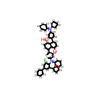 C=C1/C(=C\C(=C)N(c2ccccc2)c2c(F)cc(-c3ccccc3)cc2-c2ccccc2)Oc2ccc(-c3ccc(N(C4=CCCC=C4)C4C=CC=CC4)cc3O)c3cccc1c23